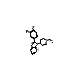 O=CN1CCC(n2c(-c3ccc(F)c(F)c3)nc3cccnc32)CC1